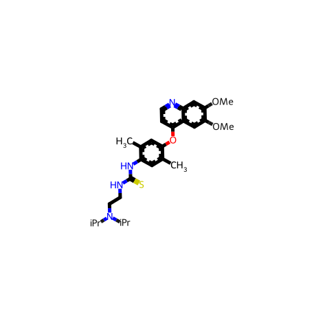 COc1cc2nccc(Oc3cc(C)c(NC(=S)NCCN(C(C)C)C(C)C)cc3C)c2cc1OC